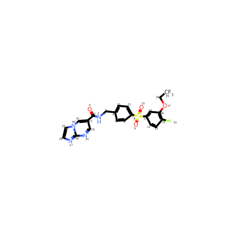 O=C(NCc1ccc(S(=O)(=O)c2ccc(F)c(OCC(F)(F)F)c2)cc1)c1cnc2nccn2c1